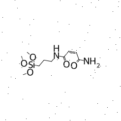 CO[Si](CCCNC(=O)/C=C\C(N)=O)(OC)OC